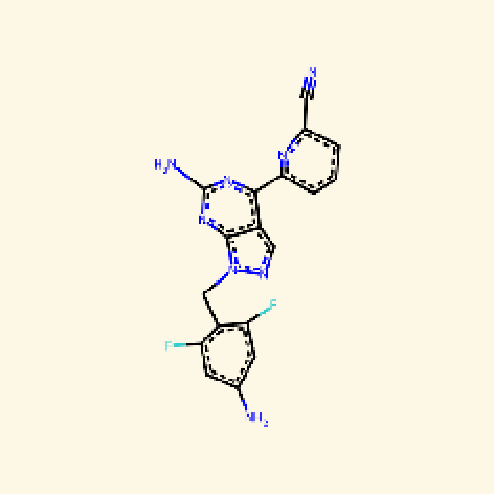 N#Cc1cccc(-c2nc(N)nc3c2cnn3Cc2c(F)cc(N)cc2F)n1